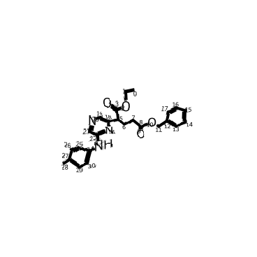 CCOC(=O)C(CCC(=O)OCc1ccccc1)c1cncc(Nc2ccc(C)cc2)n1